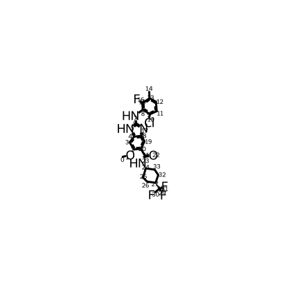 COc1cc2[nH]c(Nc3c(Cl)ccc(C)c3F)nc2cc1C(=O)N[C@H]1CC[C@H](C(F)(F)F)CC1